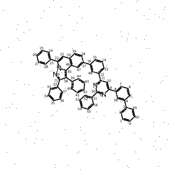 c1ccc(-c2cccc(-c3cc(-c4cccc(-c5ccc6cc(-c7ccccc7)n7nc(-c8ccccc8)c(-c8ccccc8)c7c6c5)c4)nc(-c4ccccc4)n3)c2)cc1